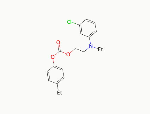 CCc1ccc(OC(=O)OCCN(CC)c2cccc(Cl)c2)cc1